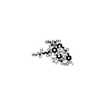 CN(C(=O)OC(C)(C)C)[C@@H]1[C@@H](O)[C@@H](O[C@@H]2[C@@H](O)[C@H](C3OC(CNC(=O)OCc4ccc([N+](=O)[O-])cc4)=CC[C@H]3NC(=N)N)[C@@H](NC(=O)OC(C)(C)C)C[C@H]2NC(=O)[C@@H](O)CCNC(=O)OC(C)(C)C)OC[C@]1(C)O